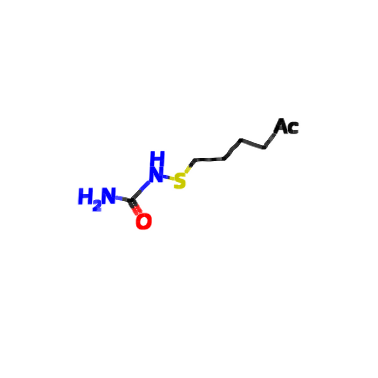 CC(=O)CCCCSNC(N)=O